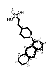 O=P(O)(O)CCC1CCN(c2ncnc3cc4c(cc23)OCCO4)CC1